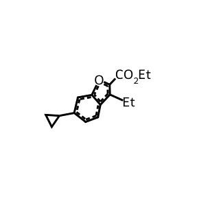 CCOC(=O)c1oc2cc(C3CC3)ccc2c1CC